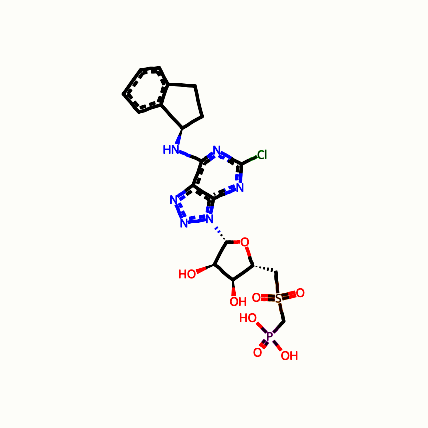 O=P(O)(O)CS(=O)(=O)C[C@H]1O[C@@H](n2nnc3c(N[C@@H]4CCc5ccccc54)nc(Cl)nc32)[C@H](O)[C@@H]1O